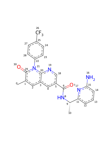 Cc1cc2cc(C(=O)N[C@@H](C)c3cccc(N)n3)cnc2n(-c2ccc(C(F)(F)F)cc2)c1=O